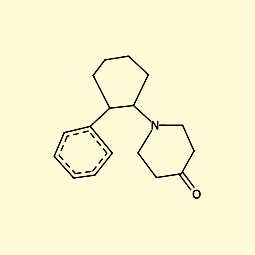 O=C1CCN(C2CCCCC2c2ccccc2)CC1